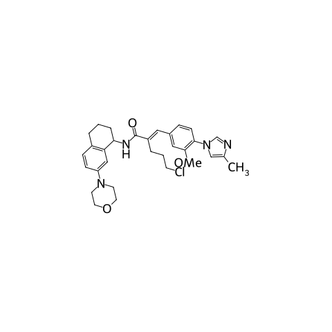 COc1cc(/C=C(\CCCCl)C(=O)NC2CCCc3ccc(N4CCOCC4)cc32)ccc1-n1cnc(C)c1